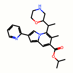 Cc1c(C(=O)OC(C)C)cc2cc(-c3ccccn3)cn2c1C(C)C1CNCCO1